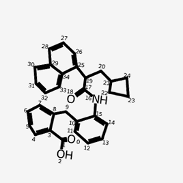 O=C(O)c1ccccc1Cc1ccccc1NC(=O)C(CC1CCC1)c1cccc2ccccc12